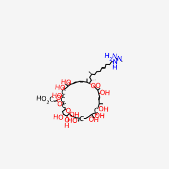 C/N=C(/N)NCCC/C=C/CCC[C@H](C)C[C@H](C)[C@H]1OC(=O)C(C)C(O)/C=C/C(C)C(O)CC(O)C(C)C(O)CCC(C)C(O)CC2(O)OC(CC(OC(=O)CC(=O)O)CC(O)CC(O)C(C)C(O)/C=C/C=C/C1C)CC(O)C2O